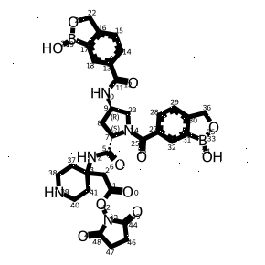 O=C(CC1(NC(=O)[C@@H]2C[C@@H](NC(=O)c3ccc4c(c3)B(O)OC4)CN2C(=O)c2ccc3c(c2)B(O)OC3)CCNCC1)ON1C(=O)CCC1=O